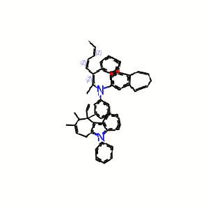 C=CC1(c2cccc(N(/C(C)=C(/C=C\C=C/C)c3ccccc3)c3ccc4c(c3)C=CCC=C4)c2)c2c(n(-c3ccccc3)c3ccccc23)CC=C(C)C1C